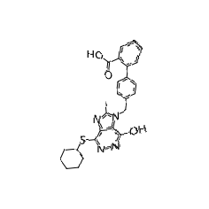 Cc1nc2c(SC3CCCCC3)nnc(O)c2n1Cc1ccc(-c2ccccc2C(=O)O)cc1